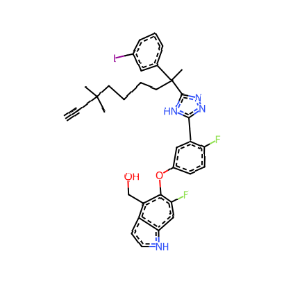 C#CC(C)(C)CCCCC(C)(c1cccc(I)c1)c1nnc(-c2cc(Oc3c(F)cc4[nH]ccc4c3CO)ccc2F)[nH]1